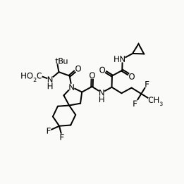 CC(F)(F)CCC(NC(=O)C1CC2(CCC(F)(F)CC2)CN1C(=O)C(NC(=O)O)C(C)(C)C)C(=O)C(=O)NC1CC1